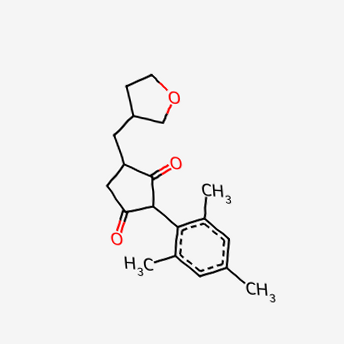 Cc1cc(C)c(C2C(=O)CC(CC3CCOC3)C2=O)c(C)c1